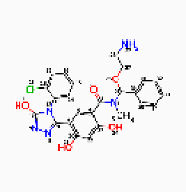 CN(C(=O)c1cc(-c2nnc(O)n2-c2ccccc2Cl)c(O)cc1O)C(OCCN)c1ccccc1